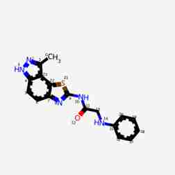 Cc1n[nH]c2ccc3nc(NC(=O)CNc4ccccc4)sc3c12